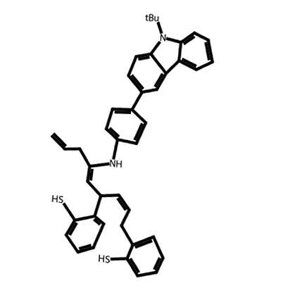 C=CC/C(=C/C(/C=C\Cc1ccccc1S)c1ccccc1S)Nc1ccc(-c2ccc3c(c2)c2ccccc2n3C(C)(C)C)cc1